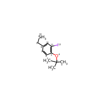 CC(C)(C)Oc1ccc(C[SiH3])cc1I